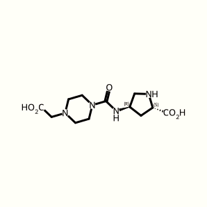 O=C(O)CN1CCN(C(=O)N[C@H]2CN[C@H](C(=O)O)C2)CC1